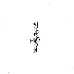 O=C(C=Cc1ccc(-c2ccc(Cl)cc2)cn1)Nc1ccc(CN2CCCCC2)cc1